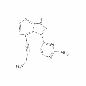 NCC#Cc1ccnc2[nH]cc(-c3ccnc(N)n3)c12